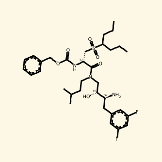 CCCC(CCC)S(=O)(=O)C[C@@H](NC(=O)OCc1ccccc1)C(=O)N(CCC(C)C)C[C@@H](O)[C@@H](N)Cc1cc(F)cc(F)c1